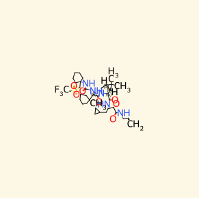 C=CCNC(=O)C(=O)C(CC1CC1)NC(=O)[C@@H]1[C@@H]2[C@H](CN1C(=O)[C@@H](NC(=O)NC1(CS(=O)(=O)CC(F)(F)F)CCCCC1)C1(C)CCCCC1)C2(C)C